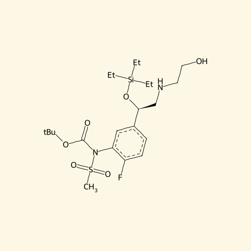 CC[Si](CC)(CC)O[C@@H](CNCCO)c1ccc(F)c(N(C(=O)OC(C)(C)C)S(C)(=O)=O)c1